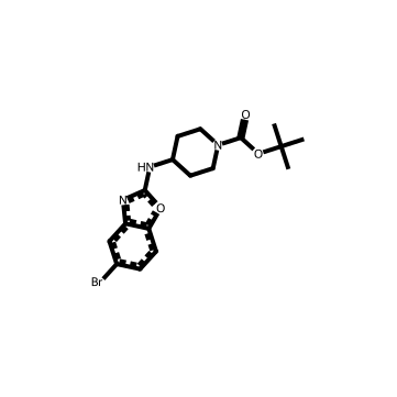 CC(C)(C)OC(=O)N1CCC(Nc2nc3cc(Br)ccc3o2)CC1